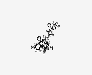 CC(C)(C)OC(=O)N1CC(CCn2c(=O)c3cc(F)ccc3n3c(=S)[nH]nc23)C1